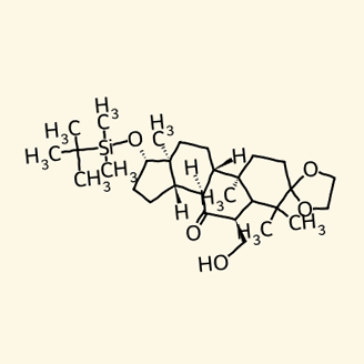 CC1(C)C2[C@@H](CO)C(=O)[C@H]3[C@@H]4CC[C@H](O[Si](C)(C)C(C)(C)C)[C@@]4(C)CC[C@@H]3[C@@]2(C)CCC12OCCO2